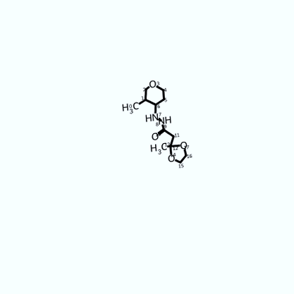 CC1COCCC1NNC(=O)CC1(C)OCCO1